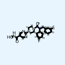 O=C(NO)c1cnc(N2CCN(C(=O)/C(=C/c3cccc(F)c3)c3ccc(F)cc3)CC2)nc1